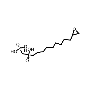 O=P(O)(O)CP(=O)(O)CCCCCCCCCC1CO1